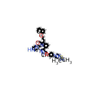 Cc1nn(C)c(COc2ccc(N3CCN(SN(C)C)CC3)cc2)c1-c1cccc2c(CCCOc3cccc4ccccc34)c(C=O)n(CCN3CCNCC3)c12